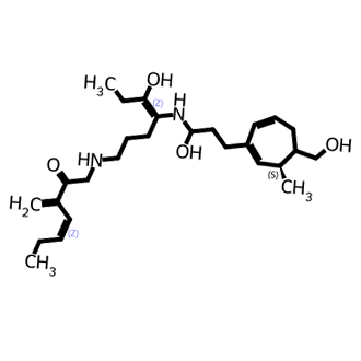 C=C(/C=C\CC)C(=O)CNCCC/C(NC(O)CCC1=C[C@H](C)C(CO)CC=C1)=C(/O)CC